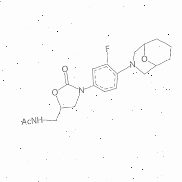 CC(=O)NCC1CN(c2ccc(N3CC4CCCC(C3)O4)c(F)c2)C(=O)O1